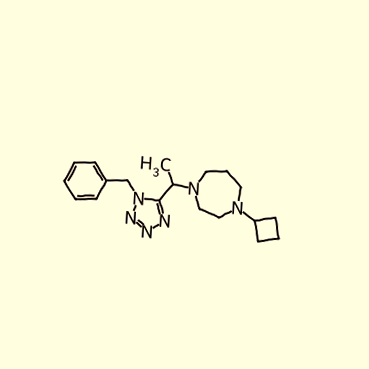 CC(c1nnnn1Cc1ccccc1)N1CCCN(C2CCC2)CC1